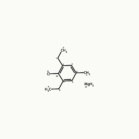 CCc1cc(C)cc(CC)c1Cl.[MgH2]